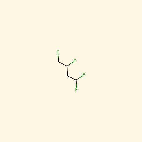 FC[C](F)CC(F)F